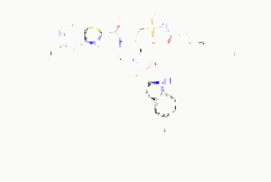 CCCCOC(=O)NS(=O)(=O)CC1CN(S(=O)(=O)c2cc3cc(Cl)ccc3[nH]2)CCN1C(=O)c1nc2c(s1)CNC(C)C2